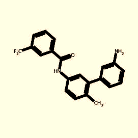 Cc1ccc(NC(=O)c2cccc(C(F)(F)F)c2)cc1-c1cccc(N)c1